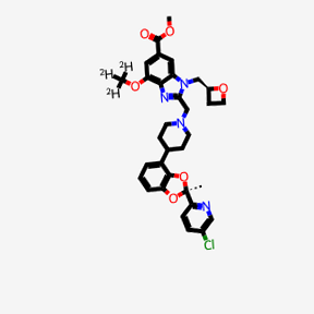 [2H]C([2H])([2H])Oc1cc(C(=O)OC)cc2c1nc(CN1CCC(c3cccc4c3O[C@@](C)(c3ccc(Cl)cn3)O4)CC1)n2C[C@@H]1CCO1